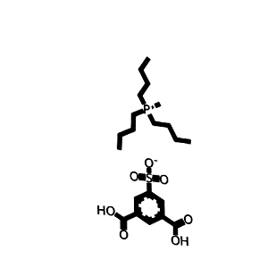 CCCC[P+](C)(CCCC)CCCC.O=C(O)c1cc(C(=O)O)cc(S(=O)(=O)[O-])c1